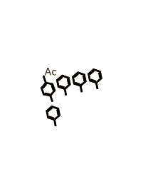 CC(=O)Cc1ccc(C)cc1.Cc1ccccc1.Cc1ccccc1.Cc1ccccc1.Cc1ccccc1